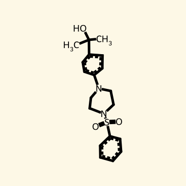 CC(C)(O)c1ccc(N2CCN(S(=O)(=O)c3ccccc3)CC2)cc1